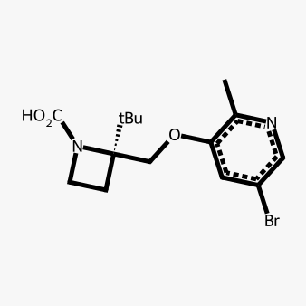 Cc1ncc(Br)cc1OC[C@@]1(C(C)(C)C)CCN1C(=O)O